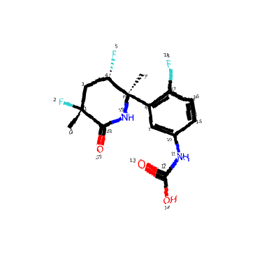 C[C@@]1(F)C[C@H](F)[C@@](C)(c2cc(NC(=O)O)ccc2F)NC1=O